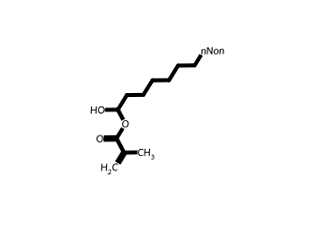 C=C(C)C(=O)OC(O)CCCCCCCCCCCCCCC